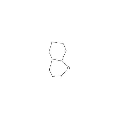 [C]1CCC2CCCCC2O1